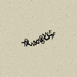 Cc1nc(CN2CC3(C2)CN(S(=O)(=O)c2ccc(C(F)(F)F)nc2C)C3)co1